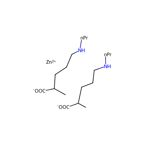 CCCNCCCC(C)C(=O)[O-].CCCNCCCC(C)C(=O)[O-].[Zn+2]